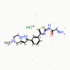 CN1CCn2nc(-c3cccc(-c4csc(NC(=O)CN)n4)c3)cc2C1.Cl